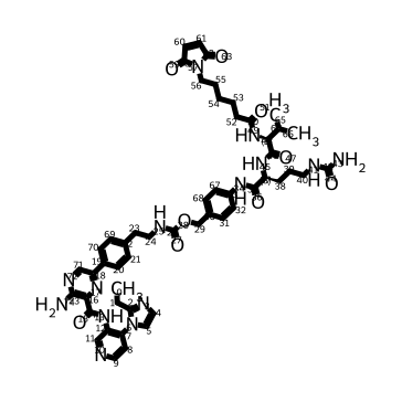 CCc1nccn1-c1ccncc1NC(=O)c1nc(-c2ccc(CCNC(=O)OCc3ccc(NC(=O)[C@H](CCCNC(N)=O)NC(=O)[C@@H](NC(=O)CCCCCN4C(=O)C=CC4=O)C(C)C)cc3)cc2)cnc1N